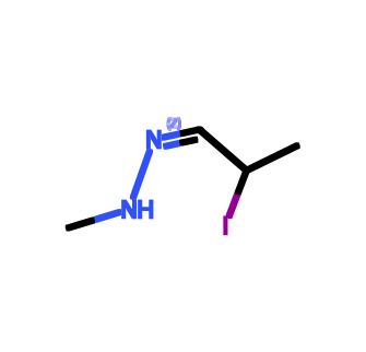 CN/N=C\C(C)I